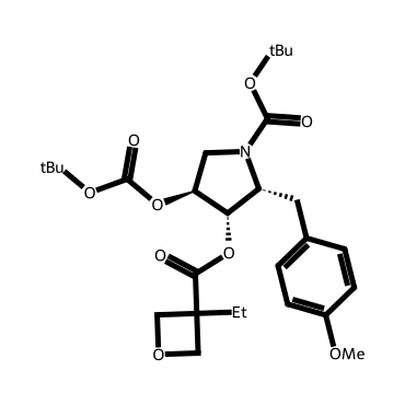 CCC1(C(=O)O[C@@H]2[C@@H](OC(=O)OC(C)(C)C)CN(C(=O)OC(C)(C)C)[C@@H]2Cc2ccc(OC)cc2)COC1